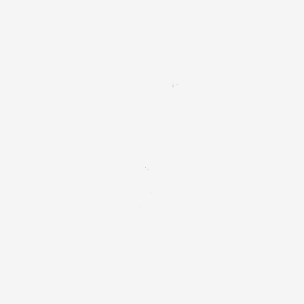 C=C(C)C(=O)NCCCS(C)(C)C(C)C